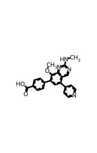 CNc1ncc2c(-c3ccncc3)cc(-c3ccc(C(=O)O)cc3)c(OC)c2n1